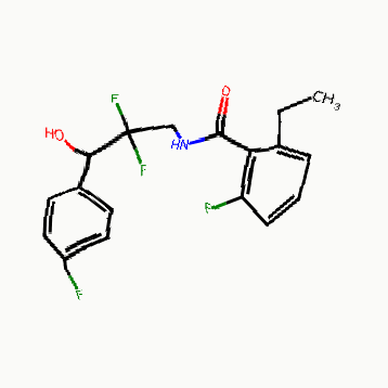 CCc1cccc(F)c1C(=O)NCC(F)(F)C(O)c1ccc(F)cc1